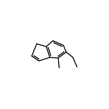 CCc1ccc2c(c1C)C=CC2